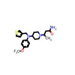 CC(CC(N)=O)N1CCC(N(Cc2ccsc2)c2ccc(OC(F)(F)F)cc2)CC1